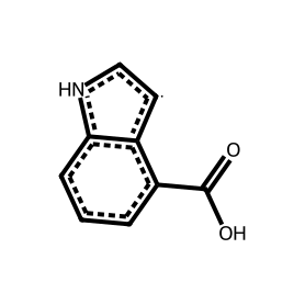 O=C(O)c1cccc2[nH]c[c]c12